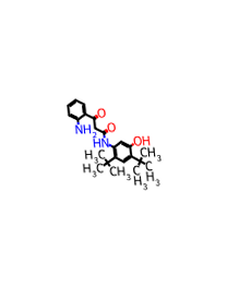 CC(C)(C)c1cc(C(C)(C)C)c(NC(=O)CC(=O)c2ccccc2N)cc1O